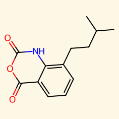 CC(C)CCc1cccc2c(=O)oc(=O)[nH]c12